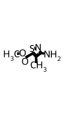 CCc1c(N)nsc1C(=O)OC